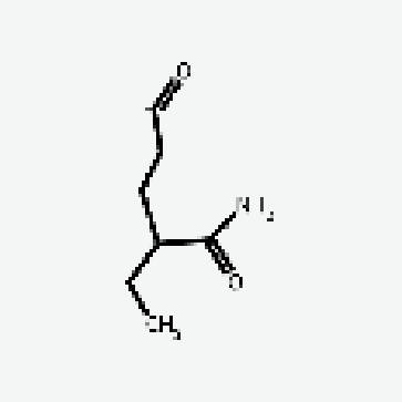 CCC(CC[C]=O)C(N)=O